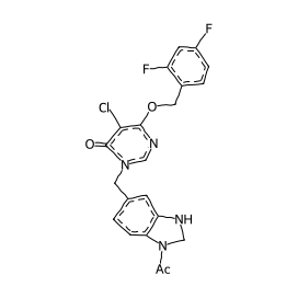 CC(=O)N1CNc2cc(Cn3cnc(OCc4ccc(F)cc4F)c(Cl)c3=O)ccc21